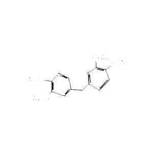 CC(=O)Oc1ccc(Cc2ccc(OC(C)=O)c(OC(C)=O)c2)cc1OC(C)=O